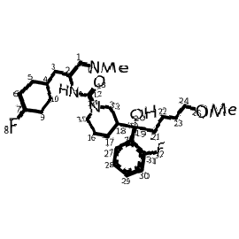 CNCC(CC1CCC(F)CC1)NC(=O)N1CCCC([C@@](O)(CCCCOC)c2ccccc2F)C1